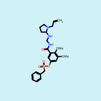 C=CCN1CCCC1NCNC(=O)c1cc(OS(=O)(=O)Cc2ccccc2)cc(OC)c1OC